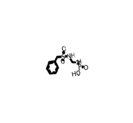 O=[PH](O)OCNS(=O)(=O)Cc1ccccc1